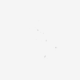 CS[C@H]1C[C@@H]2[C@@H](C[C@@H]2N(C)C2CC2)[C@@H]1O